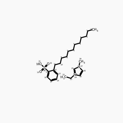 CCCCCCCCCCCCc1ccccc1S(=O)(=O)O.CC[n+]1ccn(C)c1